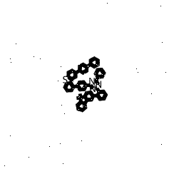 CC1(C)c2ccccc2-c2cc(-c3ccccc3-c3nc(-c4ccccc4)nc(-c4ccc(C5=c6c(sc7ccc(-c8ccc(-c9ccccc9)cc8)cc67)=CCC5)cc4)n3)ccc21